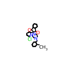 CCc1ccccc1CN1CCN(C2(c3cccc(Cl)n3)C(=O)c3ccccc3C2=O)CC1